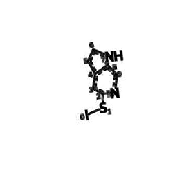 ISc1cc2cc[nH]c2cn1